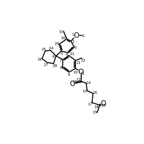 COc1ccc(C2(c3ccc(OC(=O)CCCCC(C)=O)c(C)c3)CCCCC2)cc1C